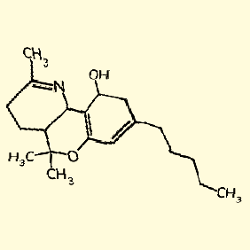 CCCCCC1=CC2=C(C(O)C1)C1N=C(C)CCC1C(C)(C)O2